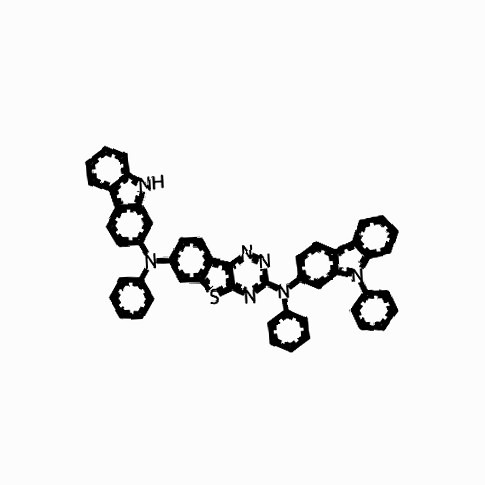 c1ccc(N(c2ccc3c(c2)[nH]c2ccccc23)c2ccc3c(c2)sc2nc(N(c4ccccc4)c4ccc5c6ccccc6n(-c6ccccc6)c5c4)nnc23)cc1